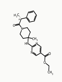 CCOC(=O)c1cnc(NC2(C)CCN(C(=O)[C@H](C)c3ccccc3)CC2)nc1